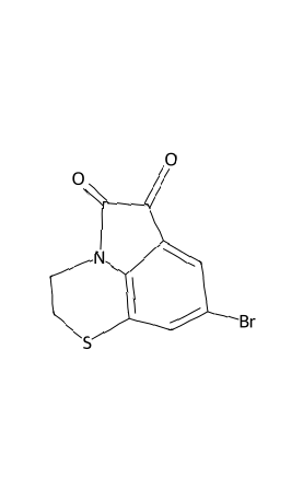 O=C1C(=O)N2CCSc3cc(Br)cc1c32